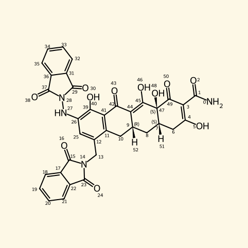 NC(=O)C1=C(O)C[C@@H]2C[C@@H]3Cc4c(CN5C(=O)c6ccccc6C5=O)cc(NN5C(=O)c6ccccc6C5=O)c(O)c4C(=O)C3=C(O)[C@]2(O)C1=O